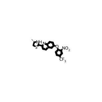 C[C@H]1CSC(c2ccc3cc(Oc4ccc(C(F)(F)F)cc4[N+](=O)[O-])ccc3n2)N1